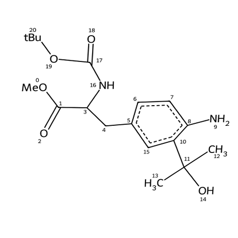 COC(=O)C(Cc1ccc(N)c(C(C)(C)O)c1)NC(=O)OC(C)(C)C